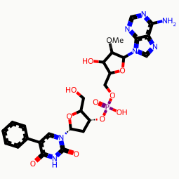 COC1C(O)C(COP(=O)(O)O[C@@H]2C[C@H](n3cc(-c4ccccc4)c(=O)[nH]c3=O)OC2CO)OC1n1cnc2c(N)ncnc21